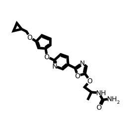 CC(COc1cnc(-c2ccc(Oc3cccc(OCC4CC4)c3)nc2)o1)NC(N)=O